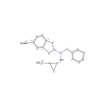 CCCN(Cc1ccccc1)C1Cc2ccc(NC(C)=O)cc2C1.O=C(O)C1CC1